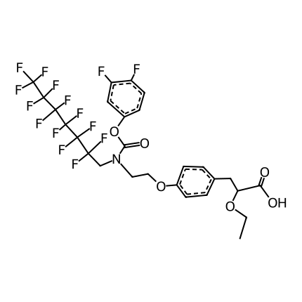 CCOC(Cc1ccc(OCCN(CC(F)(F)C(F)(F)C(F)(F)C(F)(F)C(F)(F)C(F)(F)F)C(=O)Oc2ccc(F)c(F)c2)cc1)C(=O)O